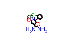 Nc1oc2c(-c3ccccc3Cl)nc(OC(F)(F)F)cc2c1N